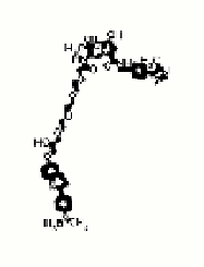 Cc1ncsc1-c1ccc(CNC(=O)C2CC(O)CN2C[C@@H](NC(=O)COCCOCCOCCOCC(O)COc2ccc3nc(-c4ccc(N(C)C)cc4)ccc3c2)C(C)(C)C)cc1